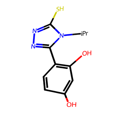 CC(C)n1c(S)nnc1-c1ccc(O)cc1O